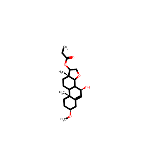 CCC(=O)OC1COC2C3C(CC[C@]12C)[C@@]1(C)CC[C@H](OC)CC1=C[C@@H]3O